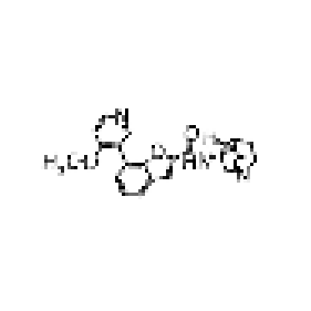 COc1ccncc1-c1cccc2cc(C(=O)N[C@H]3CN4CCC3CC4)oc12